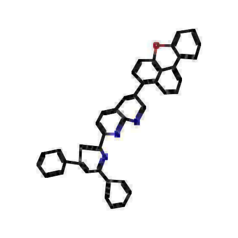 c1ccc(-c2cc(-c3ccccc3)nc(-c3ccc4cc(-c5ccc6c7c(cccc57)-c5ccccc5O6)cnc4n3)c2)cc1